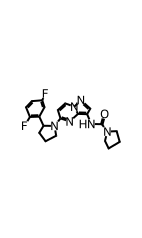 O=C(Nc1cnn2ccc(N3CCCC3c3cc(F)ccc3F)nc12)N1CCCC1